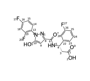 O=C(O)C[C@H](NC(=O)c1cc(O)n(-c2ccc(F)cc2F)n1)c1cccc(F)c1